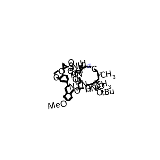 COc1ccc2c(O[C@@H]3C[C@H]4C(=O)N[C@]5(C(=O)NS(=O)(=O)C6CC6)C[C@H]5/C=C\CC[C@H](C)C[C@@H](C)[C@H](NC(=O)OC(C)(C)C)C(=O)N4C3)nc(-c3ccc4c(c3)OCCO4)cc2c1